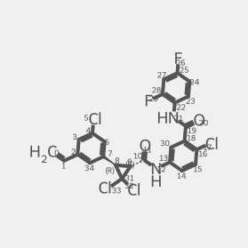 C=Cc1cc(Cl)cc([C@H]2[C@H](C(=O)Nc3ccc(Cl)c(C(=O)Nc4ccc(F)cc4F)c3)C2(Cl)Cl)c1